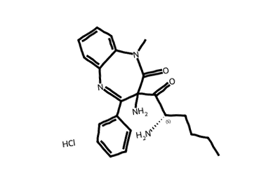 CCCC[C@H](N)C(=O)C1(N)C(=O)N(C)c2ccccc2N=C1c1ccccc1.Cl